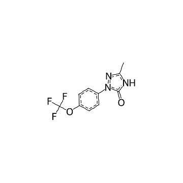 Cc1nn(-c2ccc(OC(F)(F)F)cc2)c(=O)[nH]1